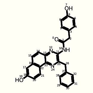 O=C(Cc1ccc(O)cc1)Nc1nc2ccc3cc(O)ccc3c2nc1Cc1ccccc1